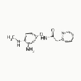 CNc1ccc(ONC(=O)Cc2ccccn2)cc1N